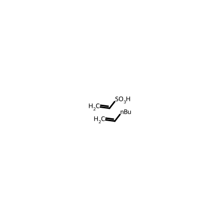 C=CCCCC.C=CS(=O)(=O)O